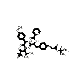 COc1ccc(C(NC(=O)C(Cc2ccc(OCC(=O)OC(C)(C)C)cc2)NC(=O)c2ccccn2)C(=O)NC(C(=O)C(F)(F)F)C(C)C)cc1